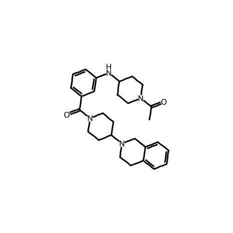 CC(=O)N1CCC(Nc2cccc(C(=O)N3CCC(N4CCc5ccccc5C4)CC3)c2)CC1